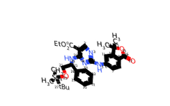 CCOC(=O)c1cnc(Nc2ccc3c(c2)C(C)(C)OC3=O)nc1NC(CO[Si](C)(C)C(C)(C)C)c1ccccc1